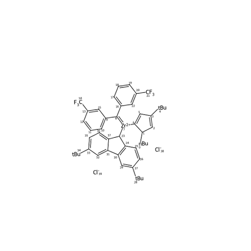 CCCCC1C=C(C(C)(C)C)C=[C]1[Zr+2](=[C](c1cccc(C(F)(F)F)c1)c1cccc(C(F)(F)F)c1)[CH]1c2ccc(C(C)(C)C)cc2-c2cc(C(C)(C)C)ccc21.[Cl-].[Cl-]